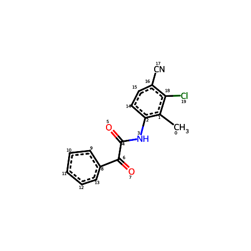 Cc1c(NC(=O)C(=O)c2ccccc2)ccc(C#N)c1Cl